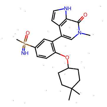 Cn1cc(-c2cc(S(C)(=N)=O)ccc2OC2CCC(C)(C)CC2)c2cc[nH]c2c1=O